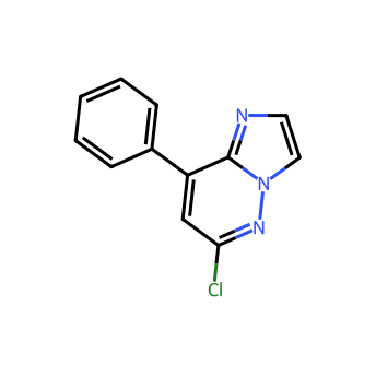 Clc1cc(-c2ccccc2)c2nccn2n1